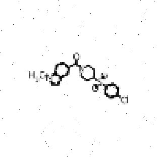 Cn1ccc2cc(C(=O)N3CCC(S(=O)(=O)c4ccc(Cl)cc4)CC3)ccc21